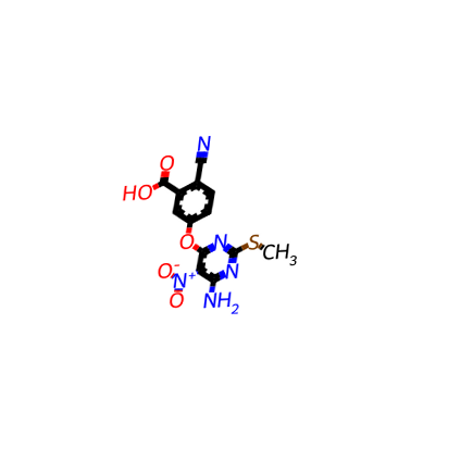 CSc1nc(N)c([N+](=O)[O-])c(Oc2ccc(C#N)c(C(=O)O)c2)n1